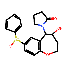 O=C1CCCN1C1c2cc([S+]([O-])c3ccccc3)ccc2OCCC1O